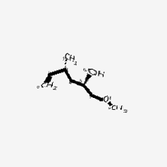 C=C[C@H](C)C[C@@H](O)COC